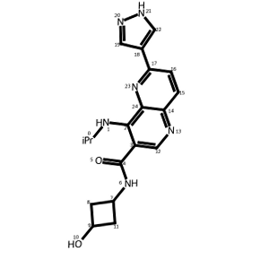 CC(C)Nc1c(C(=O)NC2CC(O)C2)cnc2ccc(-c3cn[nH]c3)nc12